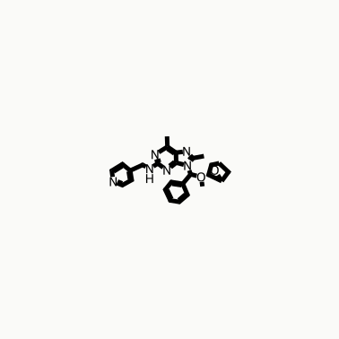 C1CC2CC1O2.COC(c1ccccc1)n1c(C)nc2c(C)nc(NCc3ccncc3)nc21